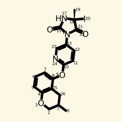 CC1COc2cccc(Oc3ccc(N4C(=O)N[C@](C)(I)C4=O)cn3)c2C1